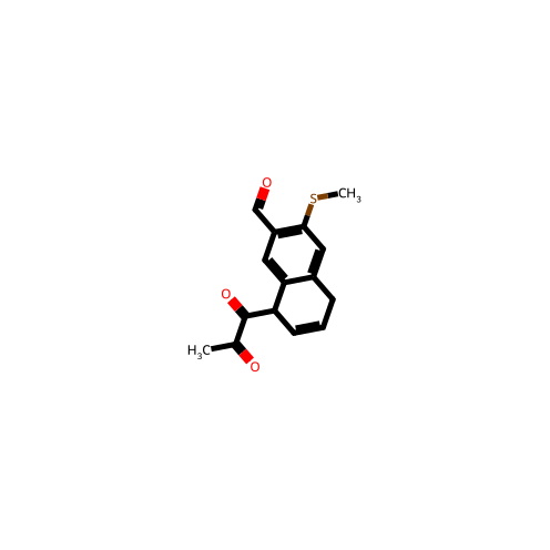 CSc1cc2c(cc1C=O)C(C(=O)C(C)=O)C=CC2